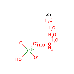 O.O.O.O.O.O.[O-][Cl+3]([O-])([O-])O.[Zn]